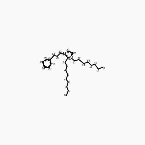 CCCCCCCCCc1n(CCCCCCCC)cc[n+]1CCCc1ccccc1